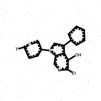 [CH2]Cc1ncc2c(c(-c3ccccc3)cn2-c2ccc(F)cc2)c1O